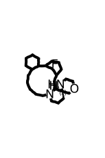 FC1C2CCCC1C1CCCCC1CCCCCN1CCC[C@@]3(COCCN3)[C@@H]1C2